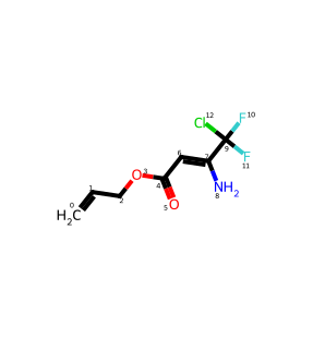 C=CCOC(=O)/C=C(\N)C(F)(F)Cl